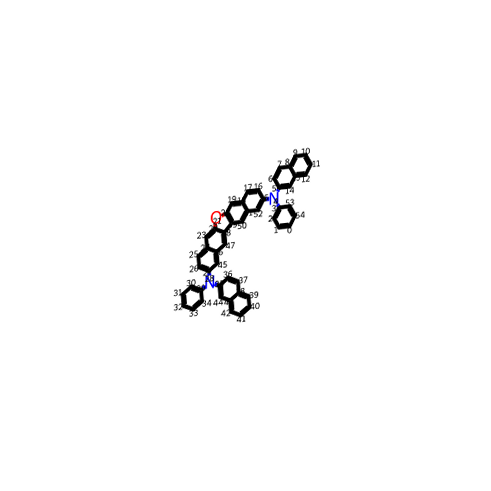 c1ccc(N(c2ccc3ccccc3c2)c2ccc3cc4oc5cc6ccc(N(c7ccccc7)c7ccc8ccccc8c7)cc6cc5c4cc3c2)cc1